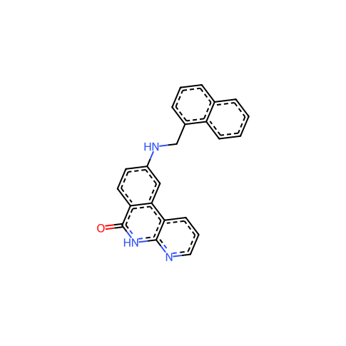 O=c1[nH]c2ncccc2c2cc(NCc3cccc4ccccc34)ccc12